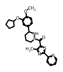 COc1ccc(C2CCCN(C(=O)c3sc(-c4ccccn4)nc3C)N2)cc1OC1CCCC1